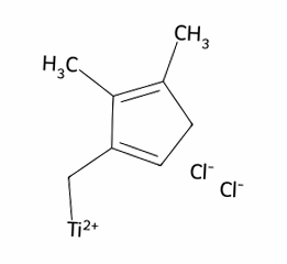 CC1=C(C)C([CH2][Ti+2])=CC1.[Cl-].[Cl-]